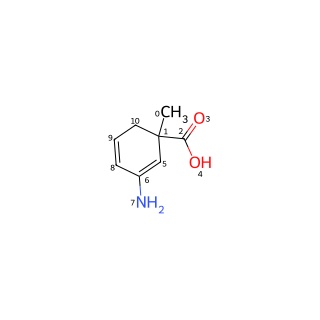 CC1(C(=O)O)C=C(N)C=CC1